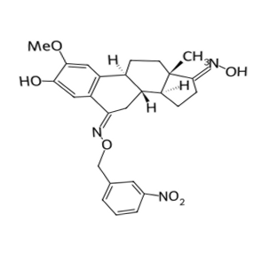 COc1cc2c(cc1O)/C(=N/OCc1cccc([N+](=O)[O-])c1)C[C@@H]1[C@@H]2CC[C@]2(C)/C(=N/O)CC[C@@H]12